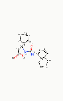 O=C(Nc1cccc2c1CCCC2)n1oc(=O)cc1-c1ccccc1